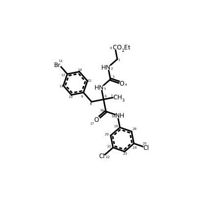 CCOC(=O)CNC(=O)NC(C)(Cc1ccc(Br)cc1)C(=O)Nc1cc(Cl)cc(Cl)c1